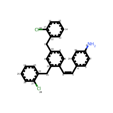 Nc1ccc(/C=C\c2ccc(Cc3ccccc3Cl)cc2Cc2ccccc2Cl)cc1